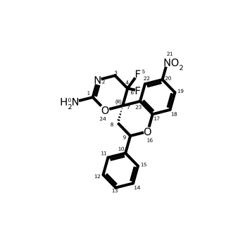 NC1=NCC(F)(F)[C@]2(CC(c3ccccc3)Oc3ccc([N+](=O)[O-])cc32)O1